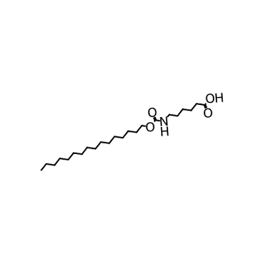 CCCCCCCCCCCCCCCCOC(=O)NCCCCCC(=O)O